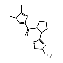 Cc1nc(C(=O)N2CCCC2c2nc(C(=O)O)cs2)cn1C